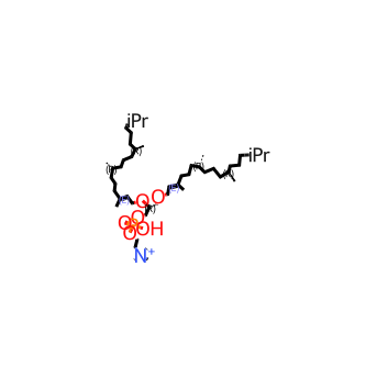 C/C(=C\COC[C@H](COP(=O)(O)OCC[N+](C)(C)C)OC/C=C(\C)CCC[C@H](C)CCC[C@H](C)CCCC(C)C)CCC[C@H](C)CCC[C@H](C)CCCC(C)C